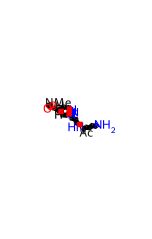 CNC(=O)OC[C@@H]1[C@@H]2CCc3c(nnn3CCCCN[C@@H](CCCCN)C(C)=O)CC[C@@H]21